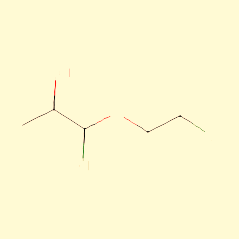 CC(O)C(Cl)OCCCl